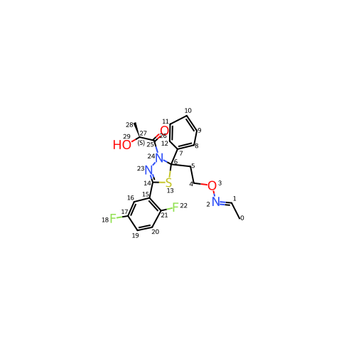 CC=NOCCC1(c2ccccc2)SC(c2cc(F)ccc2F)=NN1C(=O)[C@H](C)O